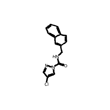 O=C(NCc1ccc2ccccc2c1)n1cc(Cl)cn1